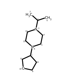 CC(C)N1CCN(C2CCOC2)CC1